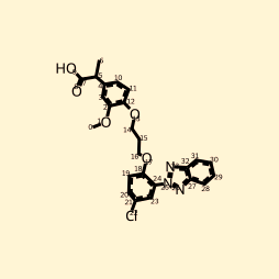 COc1cc(C(C)C(=O)O)ccc1OCCCOc1ccc(Cl)cc1-n1nc2ccccc2n1